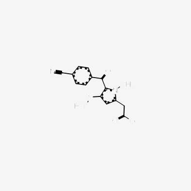 CSc1cc(CC(=O)O)n(C)c1C(=O)c1ccc(C#N)cc1